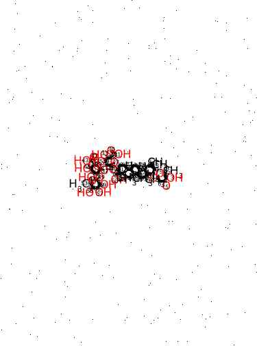 CC1=C(O)C(=O)CC(O[C@@H]2CC(C)(C)C[C@H]3C4=CC[C@@H]5[C@@]6(C)CC[C@H](O[C@@H]7O[C@H](C(=O)O)[C@@H](O)[C@H](O)[C@H]7O[C@@H]7O[C@H](C(=O)O)[C@@H](O)[C@H](O)[C@H]7O[C@@H]7O[C@@H](C)[C@H](O)[C@@H](O)[C@H]7O)[C@](C)(CO)[C@@H]6CC[C@@]5(C)[C@]4(C)CC[C@@]23C)O1